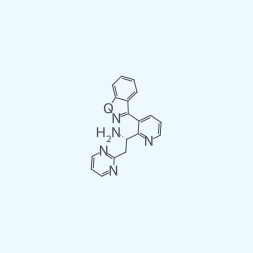 N[C@@H](Cc1ncccn1)c1ncccc1-c1noc2ccccc12